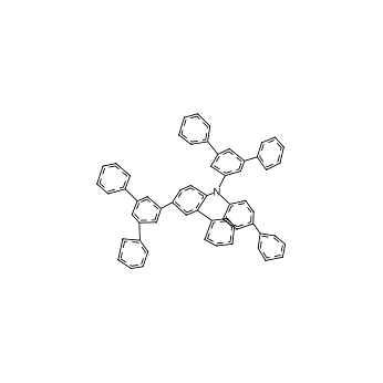 c1ccc(-c2ccc(N(c3cc(-c4ccccc4)cc(-c4ccccc4)c3)c3ccc(-c4cc(-c5ccccc5)cc(-c5ccccc5)c4)cc3-c3ccccc3)cc2)cc1